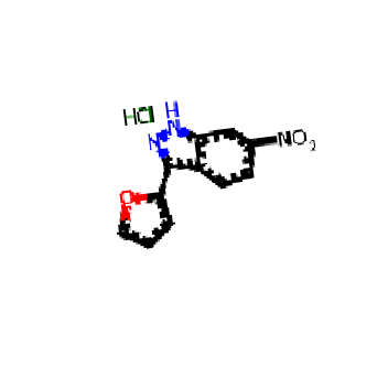 Cl.O=[N+]([O-])c1ccc2c(-c3ccco3)n[nH]c2c1